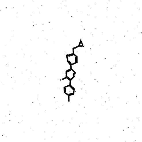 Cc1ccc(-c2ccc(-c3ccc(CC4CC4)cc3)cc2F)cc1